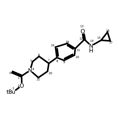 C=C(OC(C)(C)C)N1CCC(c2ccc(C(=O)NC3CC3)cc2)CC1